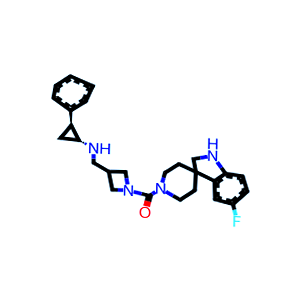 O=C(N1CCC2(CC1)CNc1ccc(F)cc12)N1CC(CN[C@@H]2C[C@H]2c2ccccc2)C1